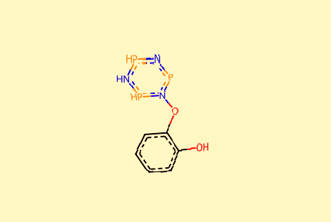 Oc1ccccc1On1pn[pH][nH][pH]1